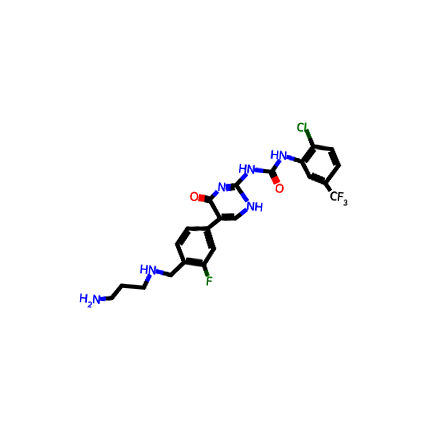 NCCCNCc1ccc(-c2c[nH]c(NC(=O)Nc3cc(C(F)(F)F)ccc3Cl)nc2=O)cc1F